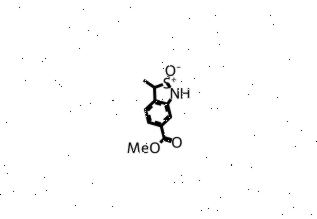 COC(=O)c1ccc2c(c1)N[S+]([O-])C2C